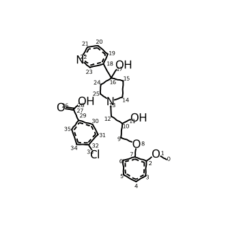 COc1ccccc1OCC(O)CN1CCC(O)(c2cccnc2)CC1.O=C(O)c1ccc(Cl)cc1